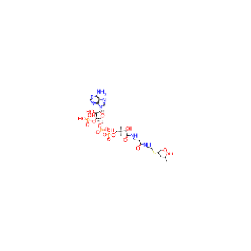 CC(O)CC(C=O)SCCNC(=O)CCNC(=O)C(O)C(C)(C)COP(=O)(O)OP(=O)(O)OC[C@H]1O[C@@H](n2cnc3c(N)ncnc32)[C@H](O)[C@@H]1OP(=O)(O)O